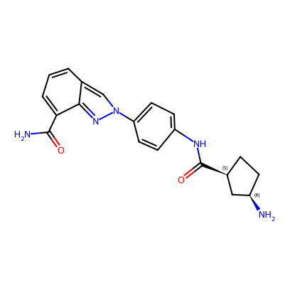 NC(=O)c1cccc2cn(-c3ccc(NC(=O)[C@H]4CC[C@@H](N)C4)cc3)nc12